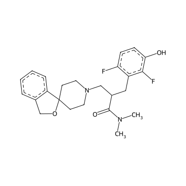 CN(C)C(=O)C(Cc1c(F)ccc(O)c1F)CN1CCC2(CC1)OCc1ccccc12